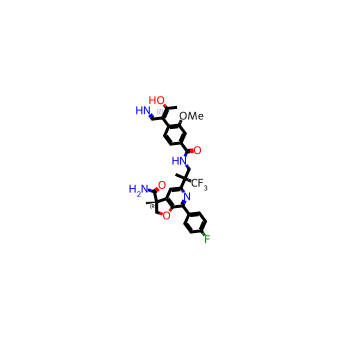 COc1cc(C(=O)NCC(C)(c2cc3c(c(-c4ccc(F)cc4)n2)OC[C@]3(C)C(N)=O)C(F)(F)F)ccc1/C(C=N)=C(\C)O